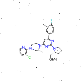 COC[C@H]1CCCN1c1nc(-c2ccc(F)c(C)c2)cc(N2CCN(c3ncccc3Cl)C[C@H]2C)n1